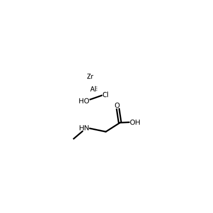 CNCC(=O)O.OCl.[Al].[Zr]